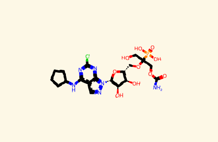 NC(=O)OCC(CO)(OC[C@H]1O[C@@H](n2ncc3c(NC4CCCC4)nc(Cl)nc32)[C@H](O)[C@@H]1O)P(=O)(O)O